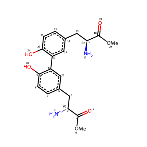 COC(=O)[C@H](N)Cc1ccc(O)c(-c2cc(C[C@H](N)C(=O)OC)ccc2O)c1